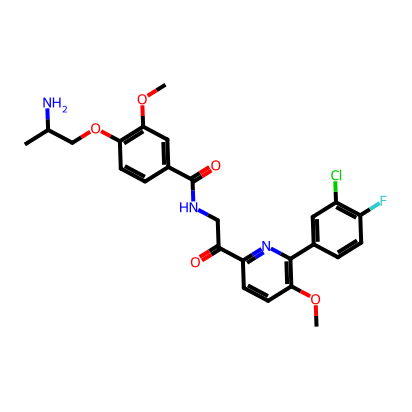 COc1cc(C(=O)NCC(=O)c2ccc(OC)c(-c3ccc(F)c(Cl)c3)n2)ccc1OCC(C)N